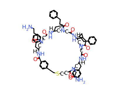 CC(C)C[C@H]1CN(C(=O)CCc2ccccc2)CC(=O)N[C@@H](CCc2ccccc2)CN(C(=O)CC2CC2)CC(=O)N[C@@H](Cc2ccccc2)CN(CC(N)=O)C(=O)CCSCc2ccc(cc2)C(=O)N[C@@H](Cc2ccccc2)CN(C(=O)CCCN)CC(=O)N1